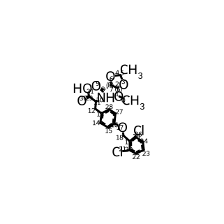 CO[C@H]1OC(C)O[C@H]1C(=O)NC(Cc1ccc(OCc2c(Cl)cccc2Cl)cc1)C(=O)O